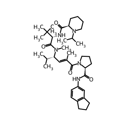 C/C(=C\[C@H](C(C)C)N(C)C(=O)[C@@H](NC(=O)[C@H]1CCCCN1C(C)C)C(C)(C)C)C(=O)N1CCC[C@H]1C(=O)Nc1ccc2c(c1)CCC2